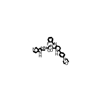 O=C(Cn1c(-c2ccccc2F)nc2c(c1=O)NC(c1ccc(N3CCOCC3)cc1)CC2)NCc1cc2cnccc2[nH]1